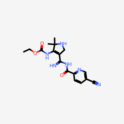 CCOC(=O)NC1=C(C(=N)NC(=O)c2ccc(C#N)cn2)CNC1(C)C